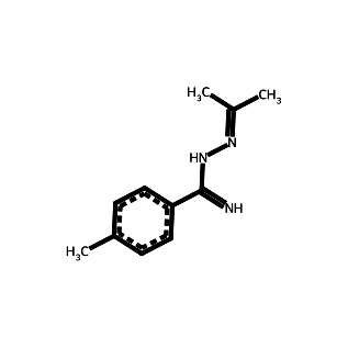 CC(C)=NNC(=N)c1ccc(C)cc1